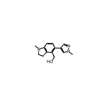 CN1CCc2c1ccc(-c1cnn(C)c1)c2CO